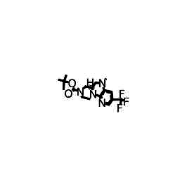 CN1C[C@@H]2CN(C(=O)OC(C)(C)C)CCN2c2ncc(C(F)(F)F)cc21